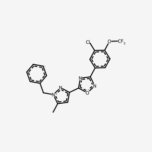 Cc1cc(-c2nc(-c3ccc(OC(F)(F)F)c(Cl)c3)no2)nn1Cc1c[c]ccc1